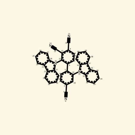 N#Cc1ccc(-c2ccc(C#N)c(C#N)c2-n2c3ccccc3c3ccccc32)c(-n2c3ccccc3c3ccccc32)c1